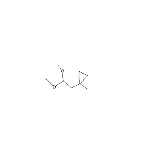 COC(CC1(C)CC1)OC